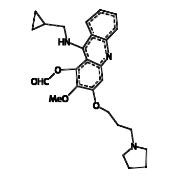 COc1c(OCCCN2CCCC2)cc2nc3ccccc3c(NCC3CC3)c2c1OC=O